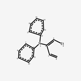 C=C/C(=C\CC)N(c1ccccc1)c1ccccc1